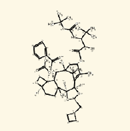 CC(=O)O[C@@]12CO[C@@H]1CC[C@@]1(C)[C@@H]3O[C@H](CN4CCC4)O[C@@H]3C3=C(C)[C@@H](OC(=O)[C@H](O)[C@@H](NC(=O)OC(C)(C)C)C(C)(C)C)C[C@@](O)([C@@H](OC(=O)c4ccccc4)[C@@H]12)C3(C)C